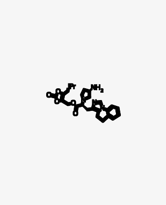 CC(C)Cc1oc(=O)oc1COC(=O)[C@H](Cc1ncn2c1CCc1ccccc1-2)N1CC[C@H](N)C1